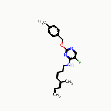 C=C/C=C(C)\C=C/CCNc1nc(OCc2ccc(C)cc2)ncc1F